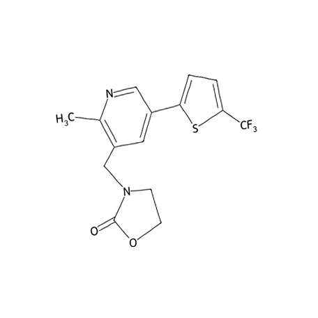 Cc1ncc(-c2ccc(C(F)(F)F)s2)cc1CN1CCOC1=O